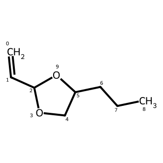 C=CC1OCC(CCC)O1